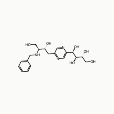 OC[C@@H](O)[C@@H](O)[C@H](O)c1cnc(C[C@@H](O)[C@H](CO)NCc2ccccc2)cn1